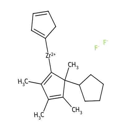 CC1=C(C)C(C)(C2CCCC2)[C]([Zr+2][C]2=CC=CC2)=C1C.[F-].[F-]